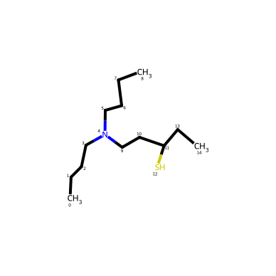 CCCCN(CCCC)CCC(S)CC